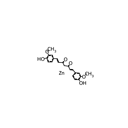 COc1cc(/C=C/C(=O)CC(=O)/C=C/c2ccc(O)c(OC)c2)ccc1O.[Zn]